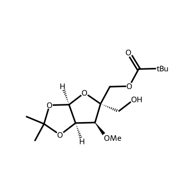 CO[C@H]1[C@H]2OC(C)(C)O[C@H]2O[C@@]1(CO)COC(=O)C(C)(C)C